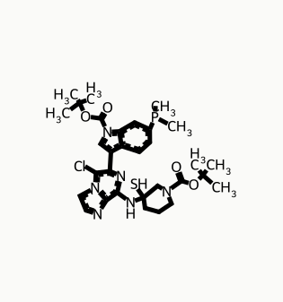 CP(C)c1ccc2c(-c3nc(NC4(S)CCCN(C(=O)OC(C)(C)C)C4)c4nccn4c3Cl)cn(C(=O)OC(C)(C)C)c2c1